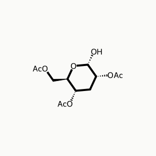 CC(=O)OC[C@H]1O[C@H](O)[C@H](OC(C)=O)C[C@@H]1OC(C)=O